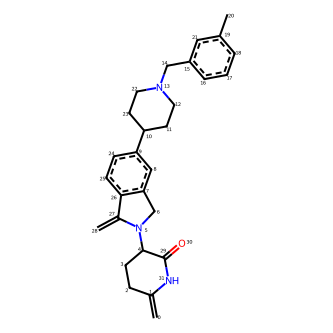 C=C1CCC(N2Cc3cc(C4CCN(Cc5cccc(C)c5)CC4)ccc3C2=C)C(=O)N1